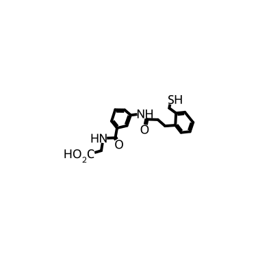 O=C(O)CNC(=O)c1cccc(NC(=O)CCc2ccccc2CS)c1